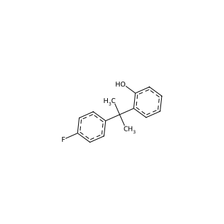 CC(C)(c1ccc(F)cc1)c1ccccc1O